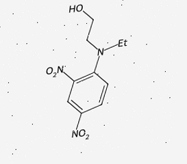 CCN(CCO)c1ccc([N+](=O)[O-])cc1[N+](=O)[O-]